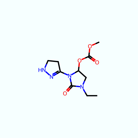 CCN1CC(OC(=O)OC)N(C2=NNCC2)C1=O